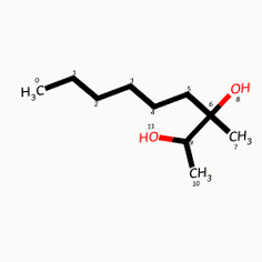 CCCCCCC(C)(O)C(C)O